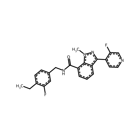 CCc1ccc(CNC(=O)c2cccc3c(-c4ccncc4F)nn(C)c23)cc1F